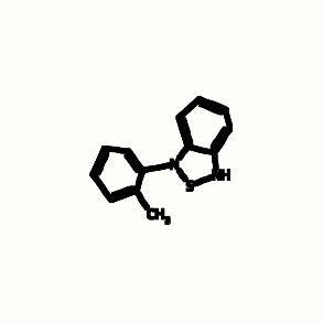 Cc1ccccc1N1SNc2ccccc21